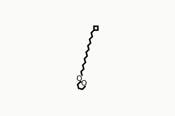 C(CCCCCCCC1CCC1)CCCCCCOC1CCCCO1